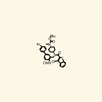 COc1ccc(-c2ccc(C(C)=O)cc2)cc1CN(C(=O)c1sc2ccccc2c1Cl)[C@H]1CC[C@H](N(C)C(=O)OC(C)(C)C)CC1